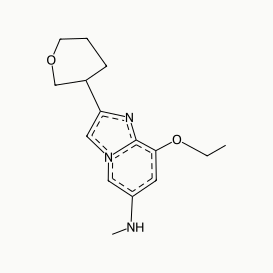 CCOc1cc(NC)cn2cc(C3CCCOC3)nc12